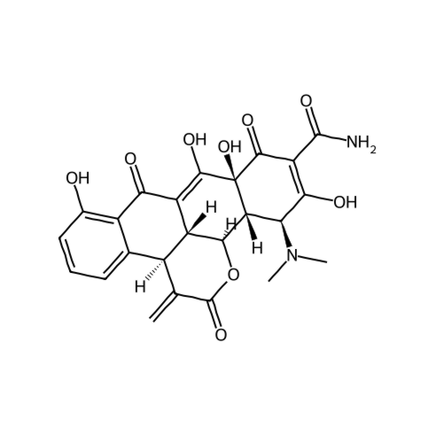 C=C1C(=O)O[C@H]2[C@H]3C(=C(O)[C@]4(O)C(=O)C(C(N)=O)=C(O)[C@@H](N(C)C)[C@H]24)C(=O)c2c(O)cccc2[C@H]13